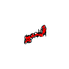 CC(C)(C)OC(=O)CC[C@H](NC(=O)N[C@@H](CCCCNC(=O)[C@H](Cc1ccccc1)NC(=O)COc1ccc(C(=O)NCCCC[C@H](NC(=O)CNC(=O)CCC(C(=O)OC(C)(C)C)N2CCN(CC(=O)OC(C)(C)C)CCN(CC(=O)OC(C)(C)C)CCN(CC(=O)OC(C)(C)C)CC2)C(=O)OC(C)(C)C)cc1)C(=O)OC(C)(C)C)C(=O)OC(C)(C)C